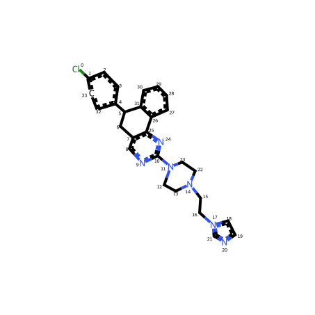 Clc1ccc(C2Cc3cnc(N4CCN(CCn5ccnc5)CC4)nc3-c3ccccc32)cc1